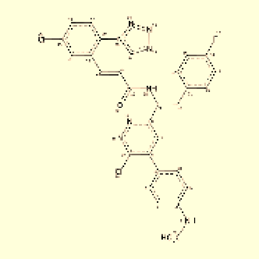 O=C(O)Nc1ccc(-c2cc(C(Cc3ccc(F)cc3)NC(=O)C=Cc3cc(Cl)ccc3-n3cnnn3)nnc2Cl)cc1